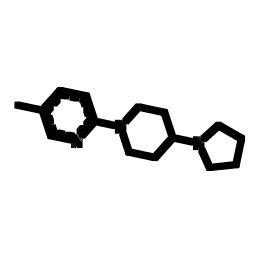 Cc1ccc(N2CCC(N3CCCC3)CC2)nc1